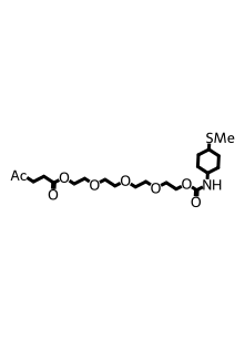 CSC1CCC(NC(=O)OCCOCCOCCOCCOC(=O)CCC(C)=O)CC1